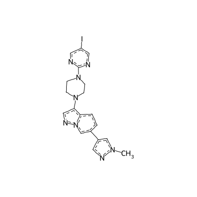 Cn1cc(-c2ccc3c(N4CCN(c5ncc(I)cn5)CC4)cnn3c2)cn1